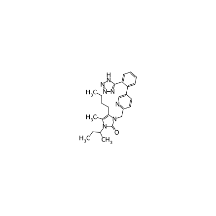 CCCCc1c(C)n(C(C)CC)c(=O)n1Cc1ccc(-c2ccccc2-c2nnn[nH]2)cn1